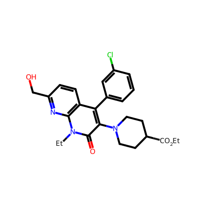 CCOC(=O)C1CCN(c2c(-c3cccc(Cl)c3)c3ccc(CO)nc3n(CC)c2=O)CC1